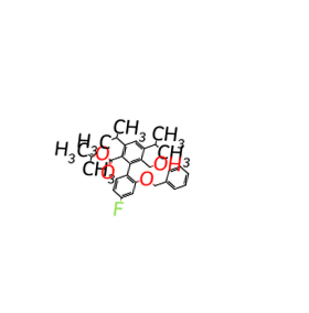 CC(C)OC(=O)c1c(C(C)C)cc(C(C)C)c(CO)c1-c1ccc(F)cc1OCc1ccccc1